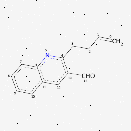 C=CCCc1nc2ccccc2cc1C=O